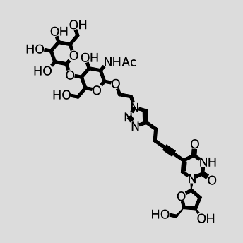 CC(=O)NC1C(OCCn2cc(CCC#Cc3cn([C@H]4C[C@@H](O)[C@@H](CO)O4)c(=O)[nH]c3=O)nn2)OC(CO)C(OC2OC(CO)C(O)C(O)C2O)C1O